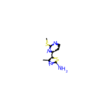 CSc1nccc(-c2sc(N)nc2C)n1